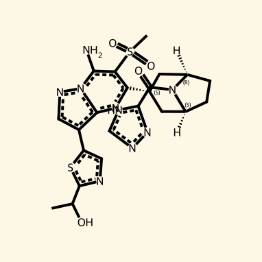 CC(O)c1ncc(-c2cnn3c(N)c(S(C)(=O)=O)c([C@@H]4C[C@H]5CC[C@@H](C4)N5C(=O)c4nnc[nH]4)nc23)s1